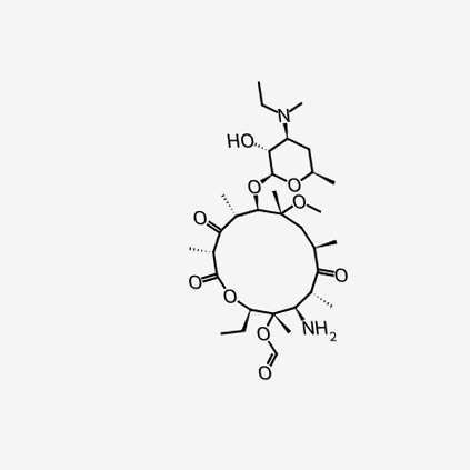 CC[C@H]1OC(=O)[C@H](C)C(=O)[C@H](C)[C@@H](O[C@@H]2O[C@H](C)C[C@H](N(C)CC)[C@H]2O)[C@](C)(OC)C[C@@H](C)C(=O)[C@H](C)[C@@H](N)[C@]1(C)OC=O